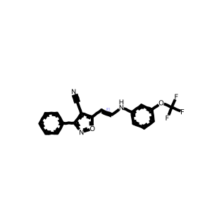 N#Cc1c(-c2ccccc2)noc1/C=C/Nc1cccc(OC(F)(F)F)c1